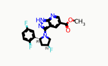 COC(=O)c1cnc2[nH]nc(N3C[C@@H](F)C[C@@H]3c3cc(F)ccc3F)c2c1